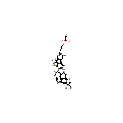 C=CC(=O)OCCCCc1ccc2c(c1)C(C)(C(F)(F)F)c1cc(-c3ccc4ccc5cc(C(C)(C)C)cc6ccc3c4c56)ccc1-2